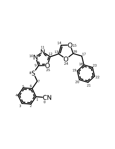 N#Cc1ccccc1CSc1nnc(C2=COC(Cc3ccccc3)O2)o1